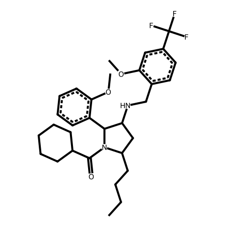 CCCCC1CC(NCc2ccc(C(F)(F)F)cc2OC)C(c2ccccc2OC)N1C(=O)C1CCCCC1